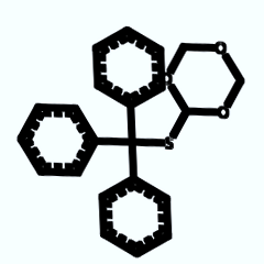 c1ccc(C(SC2OCOCO2)(c2ccccc2)c2ccccc2)cc1